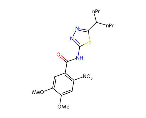 CCCC(CCC)c1nnc(NC(=O)c2cc(OC)c(OC)cc2[N+](=O)[O-])s1